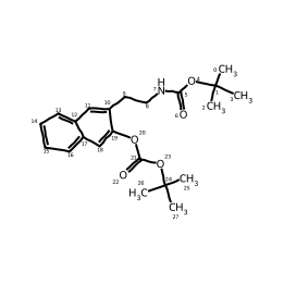 CC(C)(C)OC(=O)NCCc1cc2ccccc2cc1OC(=O)OC(C)(C)C